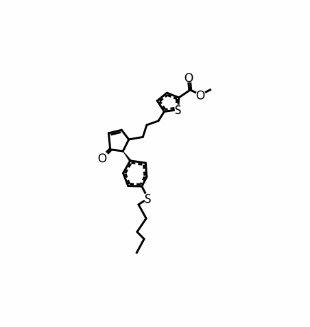 CCCCCSc1ccc([C@H]2C(=O)C=CC2CCCc2ccc(C(=O)OC)s2)cc1